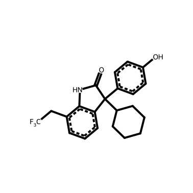 O=C1Nc2c(CC(F)(F)F)cccc2C1(c1ccc(O)cc1)C1CCCCC1